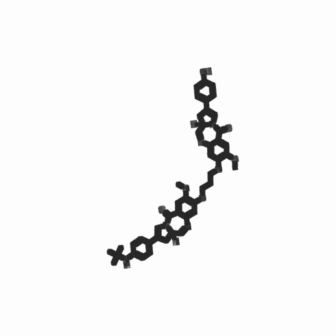 COc1cc2c(cc1OCCCOc1cc3c(cc1OC)C(=O)N1C=C(c4ccc(NC(C)(C)C)cc4)C[C@H]1C=N3)N=C[C@@H]1CC(c3ccc(O)cc3)=CN1C2=O